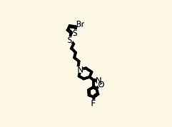 Fc1ccc2c(C3CCN(CCCCCCSc4ccc(Br)s4)CC3)noc2c1